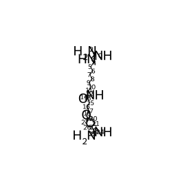 N=C(N)NCCCCCCCCNC(=O)CCCOc1ccc(C(=N)N)cc1